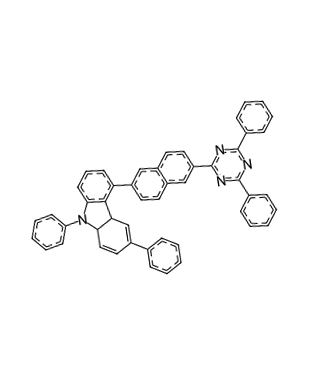 C1=CC2C(C=C1c1ccccc1)c1c(-c3ccc4cc(-c5nc(-c6ccccc6)nc(-c6ccccc6)n5)ccc4c3)cccc1N2c1ccccc1